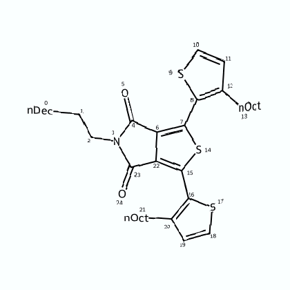 CCCCCCCCCCCCN1C(=O)c2c(-c3sccc3CCCCCCCC)sc(-c3sccc3CCCCCCCC)c2C1=O